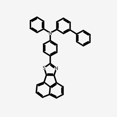 c1ccc(-c2cccc(N(c3ccccc3)c3ccc(-c4nc5c(s4)-c4cccc6cccc-5c46)cc3)c2)cc1